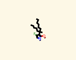 CCCCCCC(C)(CCCCC)c1c(F)cn(C)c1OC